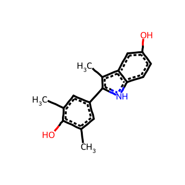 Cc1cc(-c2[nH]c3ccc(O)cc3c2C)cc(C)c1O